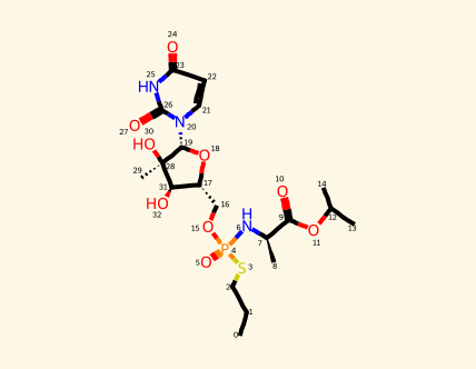 CCCSP(=O)(N[C@H](C)C(=O)OC(C)C)OC[C@H]1O[C@@H](n2ccc(=O)[nH]c2=O)[C@](C)(O)[C@@H]1O